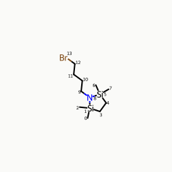 C[Si]1(C)CC[Si](C)(C)N1CCCCBr